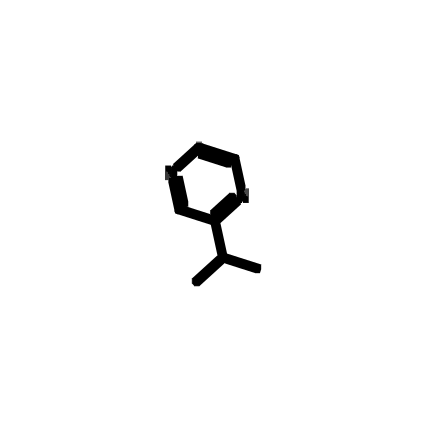 CC(C)c1cn[c]cn1